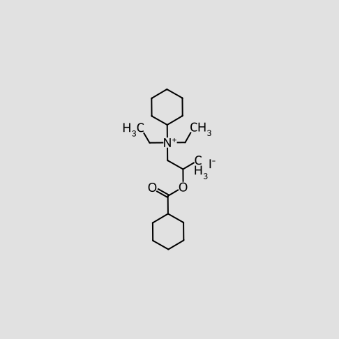 CC[N+](CC)(CC(C)OC(=O)C1CCCCC1)C1CCCCC1.[I-]